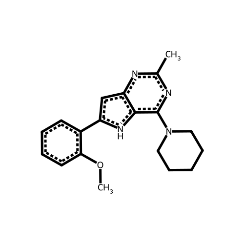 COc1ccccc1-c1cc2nc(C)nc(N3CCCCC3)c2[nH]1